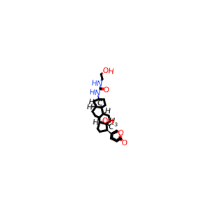 C[C@]12CC[C@H](NC(=O)NCCO)C[C@H]1CC[C@@H]1[C@@H]2CC[C@]2(C)[C@@H](c3ccc(=O)oc3)CC[C@]12O